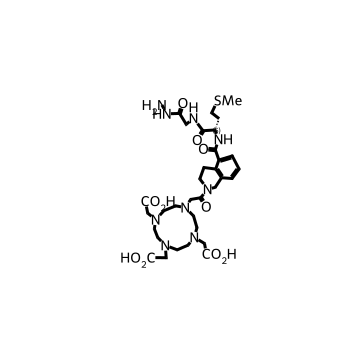 CSCC[C@H](NC(=O)c1cccc2c1CCN(C(=O)CN1CCN(CC(=O)O)CCN(CC(=O)O)CCN(CC(=O)O)CC1)C2)C(=O)NCC(=O)NN